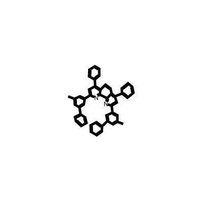 Cc1cc(-c2ccccc2)cc(-c2cc(-c3ccccc3)c3ccc4c(-c5ccccc5)cc(-c5cc(C)cc(-c6ccccc6)c5)nc4c3n2)c1